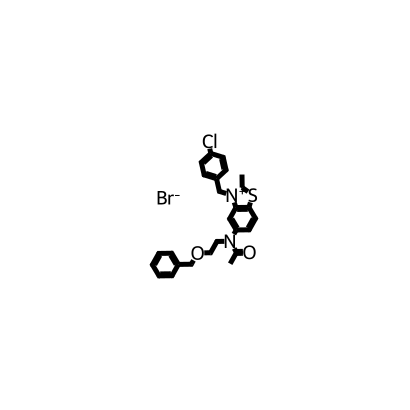 CC(=O)N(CCOCc1ccccc1)c1ccc2sc(C)[n+](Cc3ccc(Cl)cc3)c2c1.[Br-]